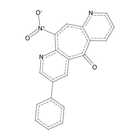 O=c1c2cccnc2cc([N+](=O)[O-])c2ncc(-c3ccccc3)cc12